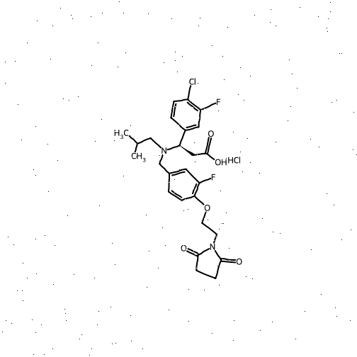 CC(C)CN(Cc1ccc(OCCN2C(=O)CCC2=O)c(F)c1)[C@H](CC(=O)O)c1ccc(Cl)c(F)c1.Cl